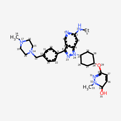 CCNc1cc2c(cn1)c(-c1ccc(CN3CCN(C)CC3)cc1)nn2[C@H]1CC[C@@H](OC2=NN(C)C(O)C=C2)CC1